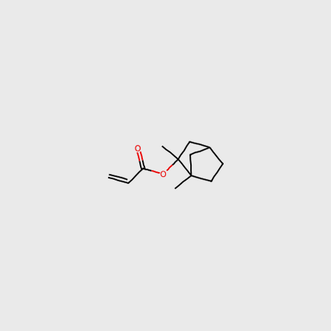 C=CC(=O)OC1(C)CC2CCC1(C)C2